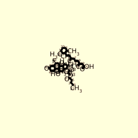 CC1=C(/C=C/C(C)=C/C=C/C(C)=C/C(=O)O)C(C)(C)CCC1.CCCCC(=O)OCC(=O)[C@H]1[C@H](C)C[C@H]2[C@@H]3C[C@H](F)C4=CC(=O)C=C[C@]4(C)[C@@]3(F)[C@@H](O)C[C@@]21C